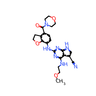 COCCNc1nc(Nc2ccc(C(=O)N3CCOCC3)c3c2OCC3)nc2[nH]cc(C#N)c12